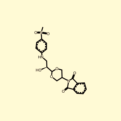 CS(=O)(=O)c1ccc(NC[C@H](O)C2OCC(N3C(=O)c4ccccc4C3=O)CO2)cc1